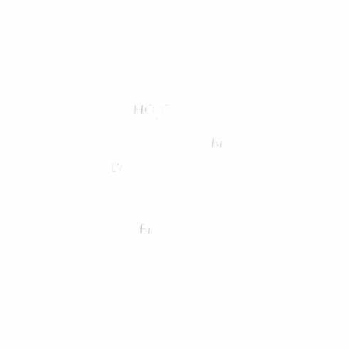 O=C(O)C(Br)C(Br)CBr